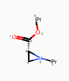 CC(C)OC(=O)[C@H]1CN1C(C)C